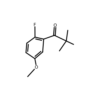 COc1ccc(F)c(C(=O)C(C)(C)C)c1